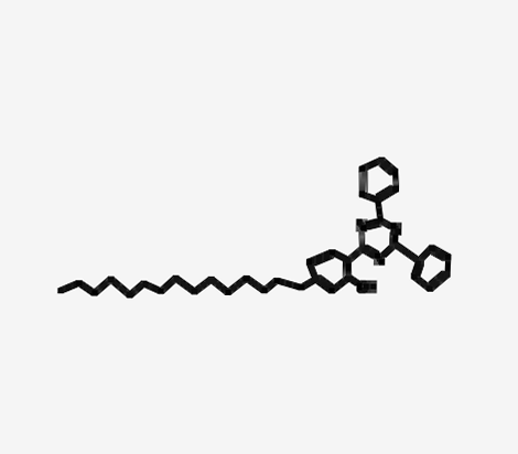 CCCCCCCCCCCCCCCc1ccc(-c2nc(-c3ccccc3)nc(-c3ccccc3)n2)c(O)c1